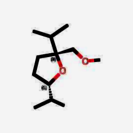 COC[C@]1(C(C)C)CC[C@@H](C(C)C)O1